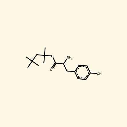 CC(C)(C)CC(C)(C)OC(=O)C(N)Cc1ccc(O)cc1